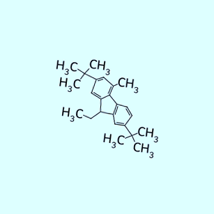 CCC1c2cc(C(C)(C)C)ccc2-c2c(C)cc(C(C)(C)C)cc21